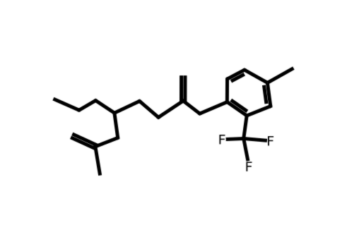 C=C(C)CC(CCC)CCC(=C)Cc1ccc(C)cc1C(F)(F)F